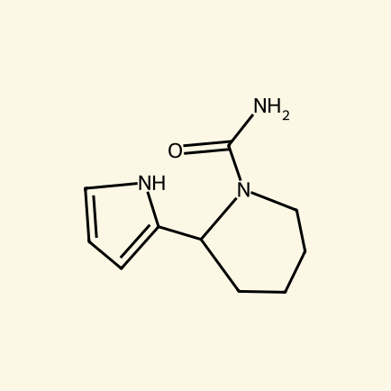 NC(=O)N1CCCCC1c1ccc[nH]1